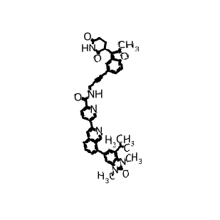 Cc1oc2ccc(C#CCNC(=O)c3ccc(-c4cc5cccc(-c6cc(C(C)C)c7c(c6)n(C)c(=O)n7C)c5cn4)cn3)cc2c1C1CCC(=O)NC1=O